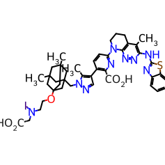 Cc1c(Nc2nc3ccccc3s2)nnc2c1CCCN2c1ccc(-c2cnn(CC34CC5(C)CC(C)(C3)CC(OCCN(I)CC(=O)O)(C5)C4)c2C)c(C(=O)O)n1